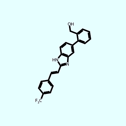 OCc1ccccc1-c1ccc2[nH]c(/C=C/c3ccc(C(F)(F)F)cc3)nc2c1